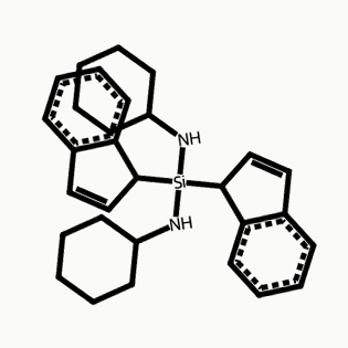 C1=CC([Si](NC2CCCCC2)(NC2CCCCC2)C2C=Cc3ccccc32)c2ccccc21